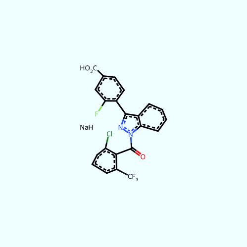 O=C(O)c1ccc(-c2nn(C(=O)c3c(Cl)cccc3C(F)(F)F)c3ccccc23)c(F)c1.[NaH]